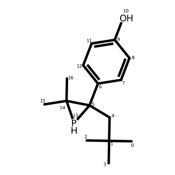 CC(C)(C)CC1(c2ccc(O)cc2)PC1(C)C